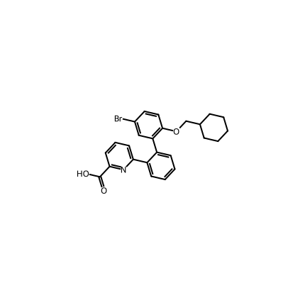 O=C(O)c1cccc(-c2ccccc2-c2cc(Br)ccc2OCC2CCCCC2)n1